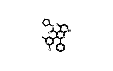 Cc1cc(-c2c(-c3ccccc3)nc3[nH]ccc(=O)c3c2C(=O)OC2CCCC2)cc(Cl)n1